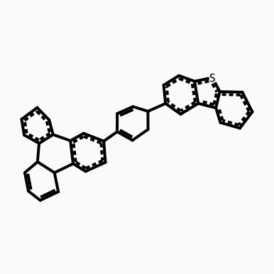 C1=CC2c3ccccc3-c3cc(C4=CCC(c5ccc6sc7ccccc7c6c5)C=C4)ccc3C2C=C1